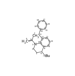 C=C(C)N1CCC(C(C)(C)C)c2cccc(Cc3ccccc3)c21